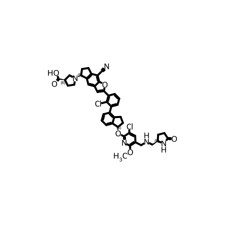 COc1nc(O[C@H]2CCc3c(-c4cccc(-c5cc6cc7c(c(C#N)c6o5)CC[C@H]7N5CC[C@@H](C(=O)O)C5)c4Cl)cccc32)c(Cl)cc1CNC[C@H]1CCC(=O)N1